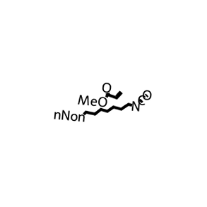 C=CC(=O)OC.CCCCCCCCCCCCCCCCN=C=O